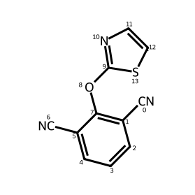 N#Cc1cccc(C#N)c1Oc1nc[c]s1